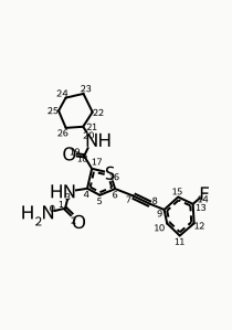 NC(=O)Nc1cc(C#Cc2cccc(F)c2)sc1C(=O)NC1CCCCC1